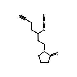 C#CCCC(CCN1CCCC1=O)N=[N+]=[N-]